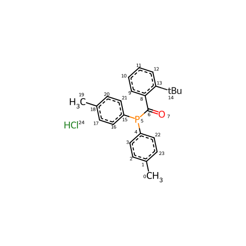 Cc1ccc(P(C(=O)c2ccccc2C(C)(C)C)c2ccc(C)cc2)cc1.Cl